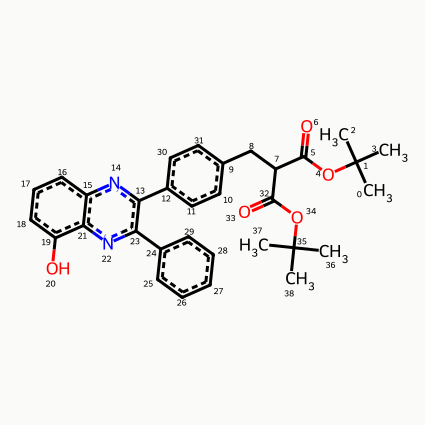 CC(C)(C)OC(=O)C(Cc1ccc(-c2nc3cccc(O)c3nc2-c2ccccc2)cc1)C(=O)OC(C)(C)C